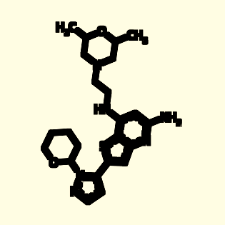 CC1CN(CCNc2cc(N)nc3cc(-c4ccnn4C4CCCCO4)sc23)CC(C)O1